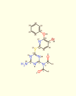 CC(=O)N(C(C)=O)c1nc(N)nc(Sc2ccc(Br)c(Oc3ccccc3)n2)n1